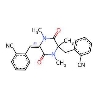 CN1C(=O)C(C)(Cc2ccccc2C#N)N(C)C(=O)/C1=C\c1ccccc1C#N